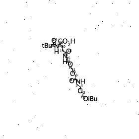 CC(C)COCCOCCNC(=O)COCCOCCNC(=O)CC[C@H](NC(=O)C(C)(C)C)C(=O)O